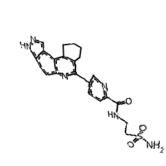 NS(=O)(=O)CCNC(=O)c1ccc(-c2nc3ccc4[nH]ncc4c3c3c2CCCC3)cn1